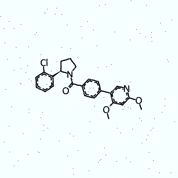 COc1cc(OC)c(-c2ccc(C(=O)N3CCC[C@@H]3c3ccccc3Cl)cc2)cn1